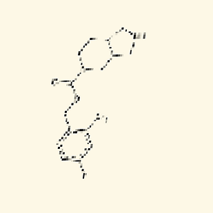 O=C(OCc1ccc(F)cc1C(F)(F)F)N1CCC2CNCC2C1